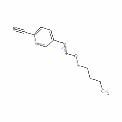 CCCCCO/N=[C]/c1ccc(C#N)cc1